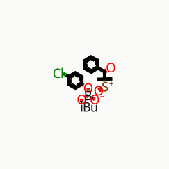 CC(C)([S+]=O)C(=O)c1ccccc1.CCC(C)OB([O-])Oc1ccc(Cl)cc1